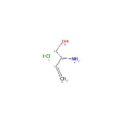 C=CC(N)CO.Cl